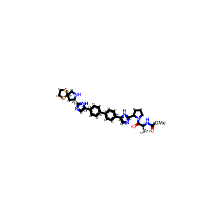 COC(=O)N[C@H](C(=O)N1CCCC1c1ncc(-c2ccc(-c3ccc(-c4cnc([C@@H]5CC6(CN5)SCCS6)[nH]4)cc3)cc2)[nH]1)C(C)C